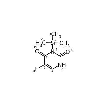 C[Si](C)(C)n1c(=O)[nH]cc(F)c1=O